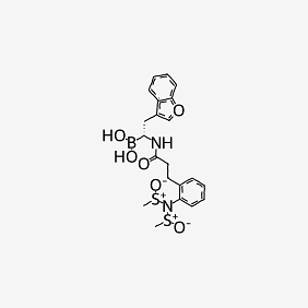 C[S+]([O-])N(c1ccccc1CCC(=O)N[C@@H](Cc1coc2ccccc12)B(O)O)[S+](C)[O-]